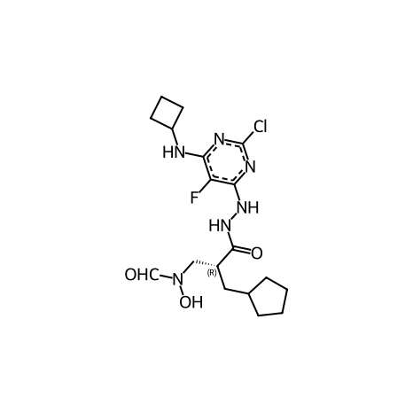 O=CN(O)C[C@@H](CC1CCCC1)C(=O)NNc1nc(Cl)nc(NC2CCC2)c1F